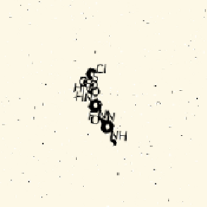 CCNc1ccc2c(=O)n(-c3ccc(NC(=O)NS(=O)(=O)c4ccc(Cl)s4)cc3F)cnc2c1